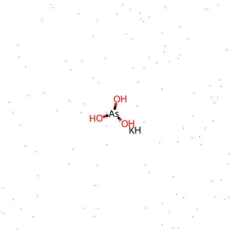 O[As](O)O.[KH]